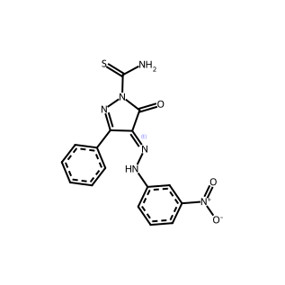 NC(=S)N1N=C(c2ccccc2)/C(=N\Nc2cccc([N+](=O)[O-])c2)C1=O